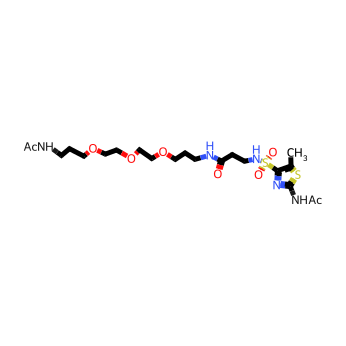 CC(=O)NCCCOCCOCCOCCCNC(=O)CCNS(=O)(=O)c1nc(NC(C)=O)sc1C